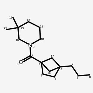 CCCC12CCC(C(=O)N3CCCC(C)(C)C3)(C1)C2